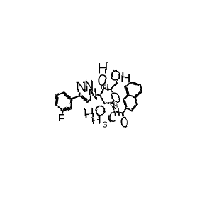 CN(C(=O)c1ccc2ccccc2c1)[C@@H]1OC(CO)[C@H](O)C(n2cc(-c3cccc(F)c3)nn2)C1O